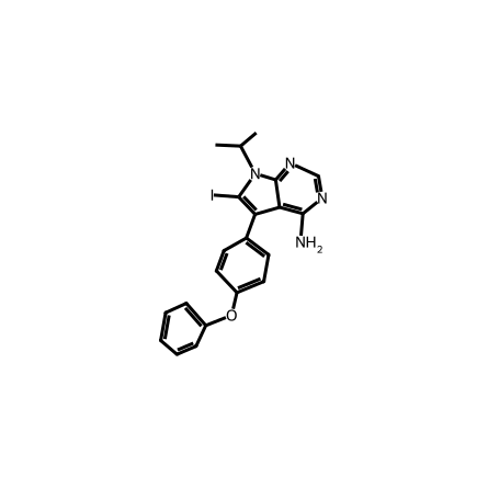 CC(C)n1c(I)c(-c2ccc(Oc3ccccc3)cc2)c2c(N)ncnc21